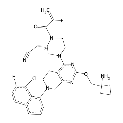 C=C(F)C(=O)N1CCN(c2nc(OCC3(N)CCC3)nc3c2CCN(c2cccc4ccc(F)c(Cl)c24)C3)C[C@@H]1CC#N